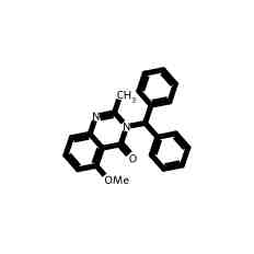 COc1cccc2nc(C)n(C(c3ccccc3)c3ccccc3)c(=O)c12